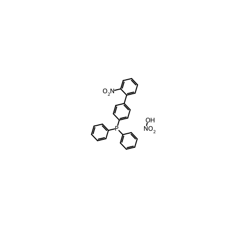 O=[N+]([O-])O.O=[N+]([O-])c1ccccc1-c1ccc(P(c2ccccc2)c2ccccc2)cc1